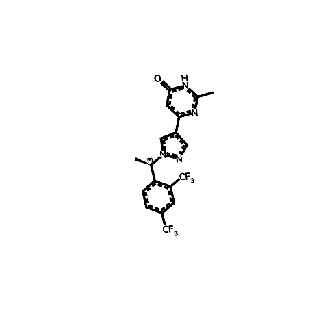 Cc1nc(-c2cnn([C@H](C)c3ccc(C(F)(F)F)cc3C(F)(F)F)c2)cc(=O)[nH]1